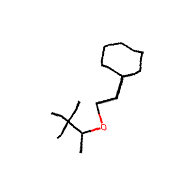 CC(OCCC1CCCCC1)C(C)(C)C